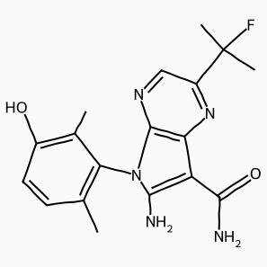 Cc1ccc(O)c(C)c1-n1c(N)c(C(N)=O)c2nc(C(C)(C)F)cnc21